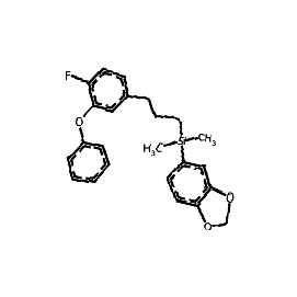 C[Si](C)(CCCc1ccc(F)c(Oc2ccccc2)c1)c1ccc2c(c1)OCO2